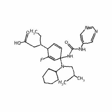 CCC(CC(=O)O)C1C=CC(NC(=O)Nc2cncnc2)(N(CC(C)C)C2CCCCC2)C=C1F